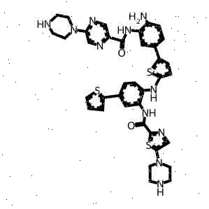 Nc1ccc(-c2ccc(Nc3ccc(-c4cccs4)cc3NC(=O)c3ncc(N4CCNCC4)s3)s2)cc1NC(=O)c1cnc(N2CCNCC2)cn1